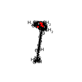 C=C1C(=O)O[C@@H]2[C@@H]3[C@@H](C[C@H](OC(=O)CCOCCOCCOCCNC(=O)CCCC[C@@H]4SC[C@@H]5NC(=O)N[C@@H]54)[C@]34CC[C@]3(O)[C@@H]5[C@H]6OC(=O)C(=C)[C@@H]6CCC(=C)[C@@H]5C[C@]43O)C(=C)CC[C@@H]12